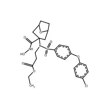 CCOC(=O)CCN(C1(C(=O)NO)CC2CCC(C1)O2)S(=O)(=O)c1ccc(Oc2ccc(Cl)cc2)cc1